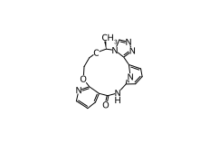 C[C@@H]1CCCOc2ncccc2C(=O)Nc2cccc(n2)-c2nncn21